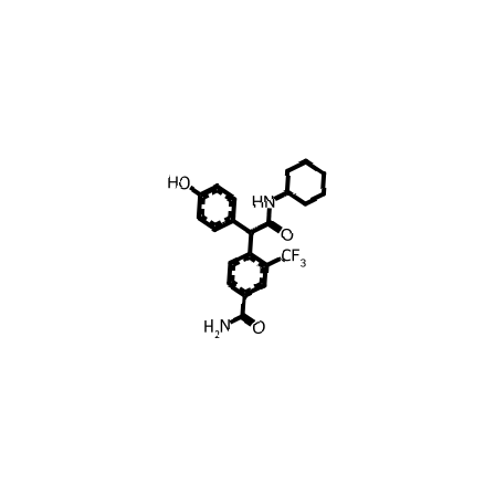 NC(=O)c1ccc(C(C(=O)NC2CCCCC2)c2ccc(O)cc2)c(C(F)(F)F)c1